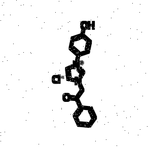 O=C(Cn1cc[n+](-c2ccc(O)cc2)c1)c1ccccc1.[Cl-]